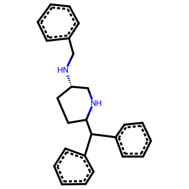 c1ccc(CN[C@H]2CCC(C(c3ccccc3)c3ccccc3)NC2)cc1